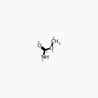 COC([NH])=O